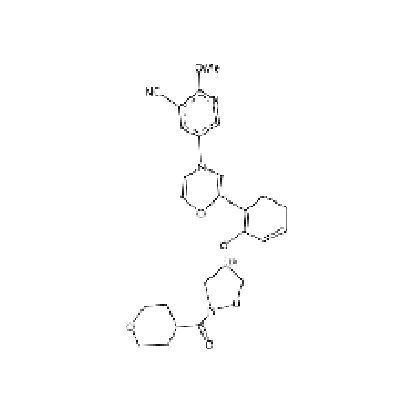 COc1ncc(N2C=COC(C3=C(O[C@@H]4CON(C(=O)C5CCOCC5)C4)C=CCC3)=C2)cc1C#N